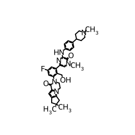 CN1CCC(c2ccc(Nc3nc(-c4cc(F)cc(N5CCn6c(cc7c6CC(C)(C)C7)C5=O)c4CO)cn(C)c3=O)cc2)CC1